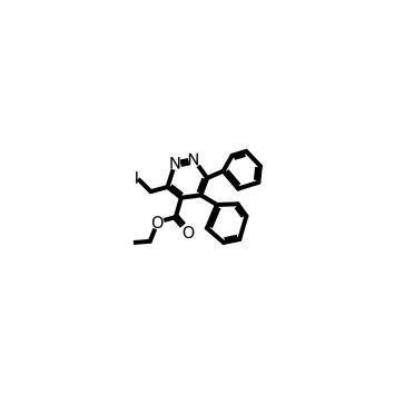 CCOC(=O)c1c(CI)nnc(-c2ccccc2)c1-c1ccccc1